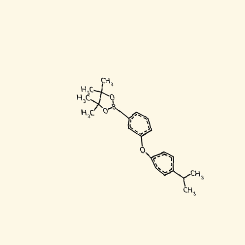 CC(C)c1ccc(Oc2cccc(B3OC(C)(C)C(C)(C)O3)c2)cc1